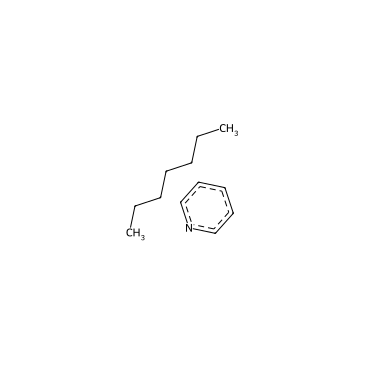 CCCCCCC.c1ccncc1